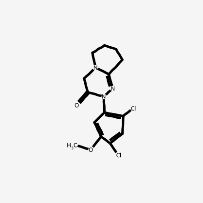 COc1cc(N2N=C3CCCCN3CC2=O)c(Cl)cc1Cl